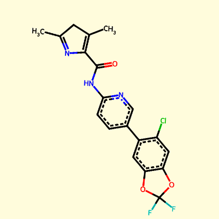 CC1=NC(C(=O)Nc2ccc(-c3cc4c(cc3Cl)OC(F)(F)O4)cn2)=C(C)C1